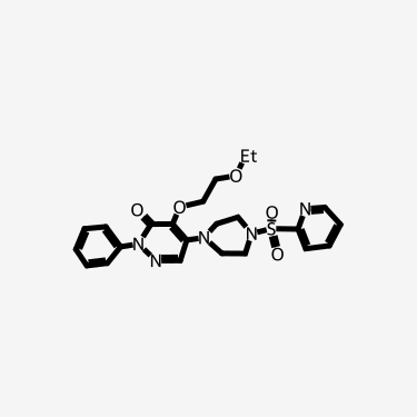 CCOCCOc1c(N2CCN(S(=O)(=O)c3ccccn3)CC2)cnn(-c2ccccc2)c1=O